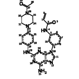 C=CC(=O)Nc1cccc(-n2cnc3c(N)nc(Nc4ccc(N5CCN(C(C)=O)CC5)cc4)nc32)c1